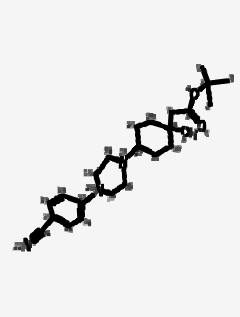 CC(C)(C)OC(=O)CC1(O)CCC(N2CCN(c3ccc(C#N)cc3)CC2)CC1